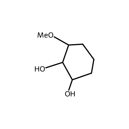 COC1CCCC(O)C1O